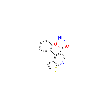 NOC(=O)c1cnc2sccc2c1-c1ccccc1